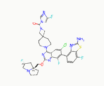 Nc1nc2c(-c3c(Cl)cc4c(N5CCC6(CC5)CN(C(=O)n5cnc(F)c5)C6)nc(OC[C@@]56CCCN5C[C@H](F)C6)nc4c3F)ccc(F)c2s1